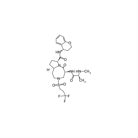 CN[C@@H](C)C(=O)N[C@H]1CN(S(=O)(=O)CCC(F)(F)F)CC[C@H]2CC[C@@H](C(=O)N[C@@H]3CCOc4ccccc43)N2C1=O